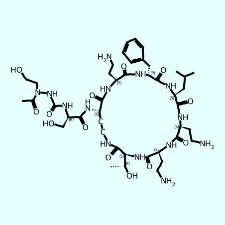 CC(=O)N(CCO)NC(=O)N[C@H](CO)C(=O)N[C@H]1CCNC(=O)[C@H]([C@@H](C)O)NC(=O)[C@H](CCN)NC(=O)[C@H](CCN)NC(=O)[C@H](CC(C)C)NC(=O)[C@@H](Cc2ccccc2)NC(=O)[C@H](CCN)NC1=O